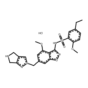 CCc1ccc(OC)c(S(=O)(=O)Nc2noc3cc(Cn4cc5c(n4)CNC5)cc(OC)c23)c1.Cl